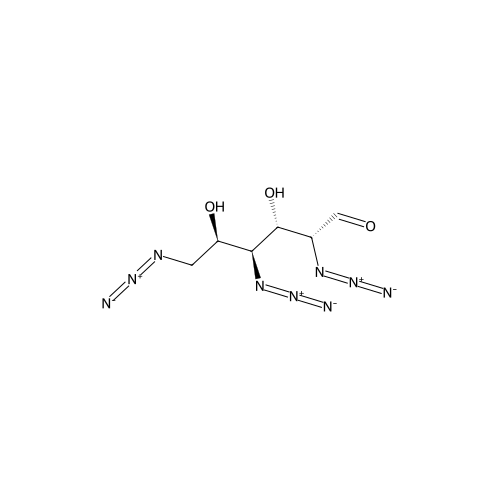 [N-]=[N+]=NC[C@@H](O)[C@H](N=[N+]=[N-])[C@H](O)[C@H](C=O)N=[N+]=[N-]